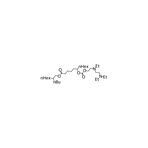 CCCCCCC(CCCC)COC(=O)CCCCC(CCCCCC)OC(=O)OCCN(CC)CCN(CC)CC